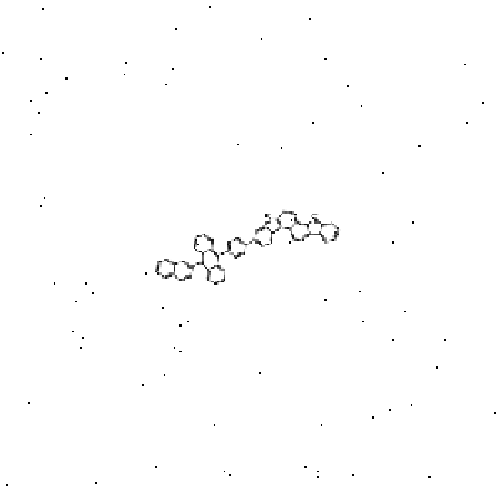 c1ccc2cc(-c3c4ccccc4c(-c4ccc(-c5ccc6c(c5)sc5ccc7c(ccc8c9ccccc9sc87)c56)cc4)c4ccccc34)ccc2c1